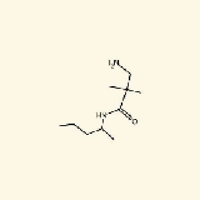 CCCC(C)NC(=O)C(C)(C)CN